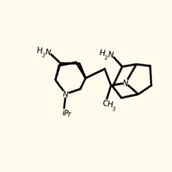 CC(C)N1CC2(CC(C)N3C4CCC(N)C3CC4)CCC1C(N)C2